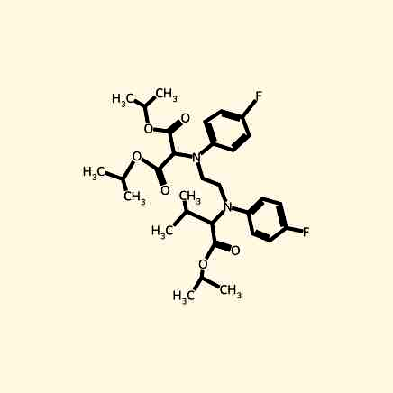 CC(C)OC(=O)C(C(=O)OC(C)C)N(CCN(c1ccc(F)cc1)C(C(=O)OC(C)C)C(C)C)c1ccc(F)cc1